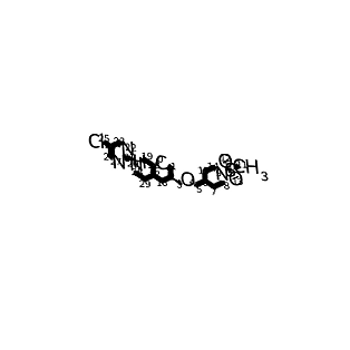 C=C[C@@H](COCC1CCN(S(C)(=O)=O)CC1)CC1CCN(c2ncc(Cl)cn2)CC1